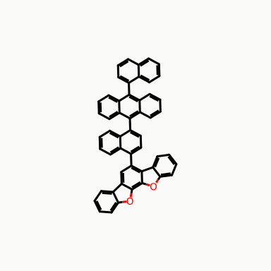 c1ccc2c(-c3c4ccccc4c(-c4ccc(-c5cc6c7ccccc7oc6c6oc7ccccc7c56)c5ccccc45)c4ccccc34)cccc2c1